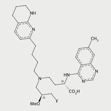 CO[C@H](CF)CN(CCCCc1ccc2c(n1)NCCC2)CC[C@H](Nc1ncnc2cc(C)ccc12)C(=O)O